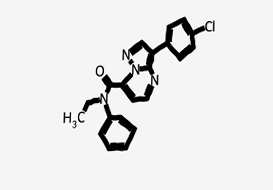 CCN(C(=O)c1ccnc2c(-c3ccc(Cl)cc3)cnn12)c1ccccc1